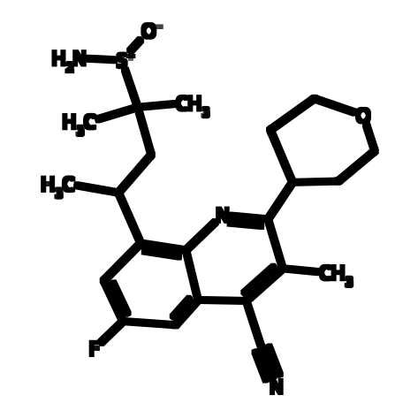 Cc1c(C2CCOCC2)nc2c(C(C)CC(C)(C)[S+](N)[O-])cc(F)cc2c1C#N